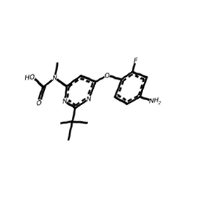 CN(C(=O)O)c1cc(Oc2ccc(N)cc2F)nc(C(C)(C)C)n1